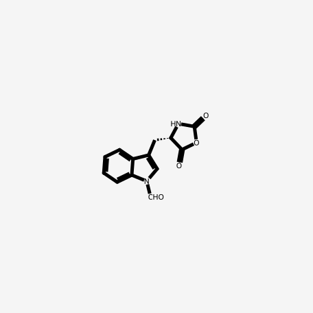 O=Cn1cc(C[C@@H]2NC(=O)OC2=O)c2ccccc21